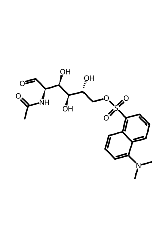 CC(=O)N[C@@H](C=O)[C@@H](O)[C@H](O)[C@H](O)COS(=O)(=O)c1cccc2c(N(C)C)cccc12